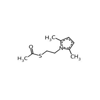 CC(=O)SCCn1c(C)ccc1C